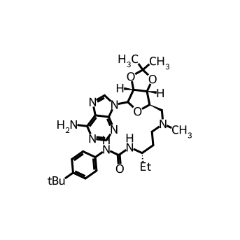 CC[C@@H](CCN(C)C[C@H]1OC(n2cnc3c(N)ncnc32)[C@@H]2OC(C)(C)O[C@H]12)NC(=O)Nc1ccc(C(C)(C)C)cc1